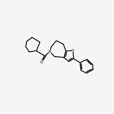 O=C(C1CCCCC1)N1CCCc2oc(-c3ccccc3)cc2C1